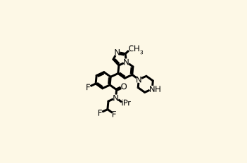 Cc1ncc2c(-c3ccc(F)cc3C(=O)N(CC(F)F)C(C)C)cc(N3CCNCC3)cn12